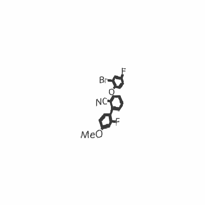 COc1ccc(-c2cccc(Oc3ccc(F)cc3Br)c2C#N)c(F)c1